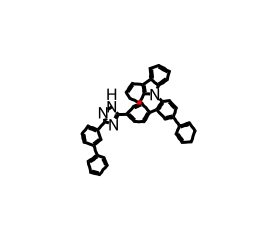 C1=CC(c2ccc(-n3c4c(c5ccccc53)C=CCC4)c(-c3ccc(-c4nc(-c5cccc(-c6ccccc6)c5)n[nH]4)cc3)c2)=CCC1